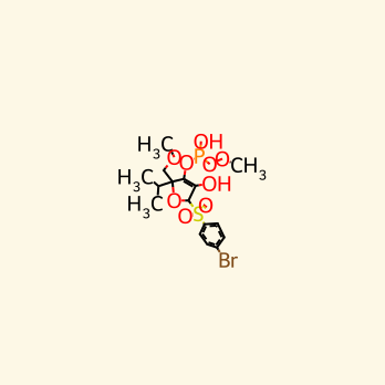 COCC1(C(C)C)OC(S(=O)(=O)c2ccc(Br)cc2)C(O)=C1OP(O)OOC